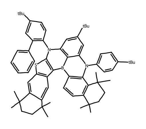 CC(C)(C)c1ccc(N2c3cc(C(C)(C)C)cc4c3B(c3ccc5c(c32)C(C)(C)CCC5(C)C)c2c(sc3cc5c(cc23)C(C)(C)CCC5(C)C)N4c2ccc(C(C)(C)C)cc2-c2ccccc2)cc1